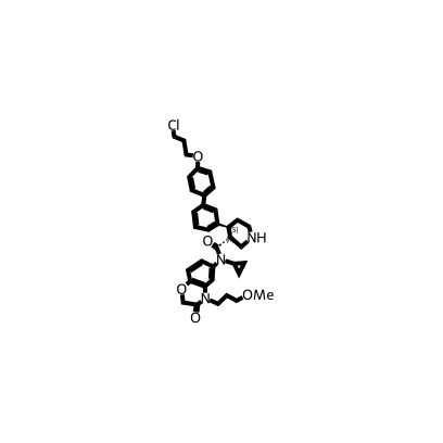 COCCCN1C(=O)COc2ccc(N(C(=O)[C@H]3CNCC[C@@H]3c3cccc(-c4ccc(OCCCCl)cc4)c3)C3CC3)cc21